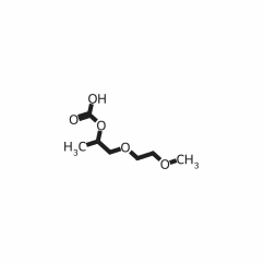 COCCOCC(C)OC(=O)O